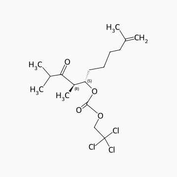 C=C(C)CCCC[C@H](OC(=O)OCC(Cl)(Cl)Cl)[C@@H](C)C(=O)C(C)C